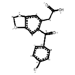 O=C(O)Cc1cc2c(cc1C(=O)c1ccc(Cl)cc1)OCO2